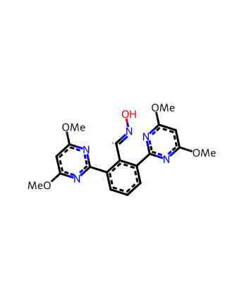 COc1cc(OC)nc(-c2cccc(-c3nc(OC)cc(OC)n3)c2[C]=NO)n1